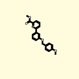 COC(=O)c1cccc(-c2cccc(OCc3ccc(OC)cc3)c2)n1